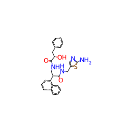 Nc1ncc(CNC(=O)C(CNC(=O)[C@H](O)Cc2ccccc2)c2cccc3ccccc23)s1